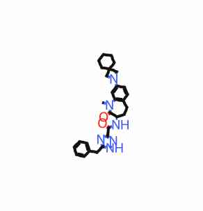 CN1C(=O)[C@H](NC(=O)c2n[nH]c(Cc3ccccc3)n2)CCc2ccc(N3CC4(CCCCC4)C3)cc21